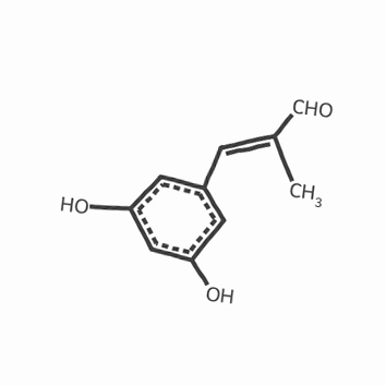 CC(C=O)=Cc1cc(O)cc(O)c1